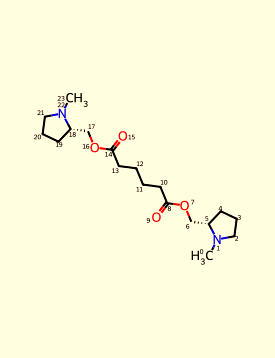 CN1CCC[C@H]1COC(=O)CCCCC(=O)OC[C@@H]1CCCN1C